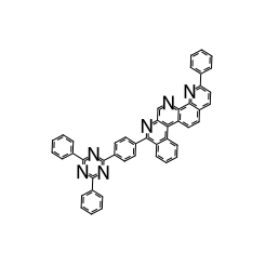 c1ccc(-c2ccc3ccc4c(ncc5nc(-c6ccc(-c7nc(-c8ccccc8)nc(-c8ccccc8)n7)cc6)c6ccccc6c54)c3n2)cc1